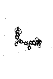 C=CC(=O)Oc1ccc2cc(N(c3ccccc3)c3ccc(-c4ccc(N(c5ccccc5)c5ccc6cc(OC(=O)C=C)ccc6c5)c(C)c4)cc3C)ccc2c1